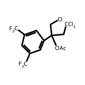 CC(=O)OC(CCl)(CC(Cl)(Cl)Cl)c1cc(C(F)(F)F)cc(C(F)(F)F)c1